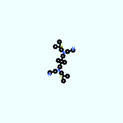 C1=CCC(c2c(-c3ccccc3)sc3cc(N(c4ccc(-c5cccnc5)cc4)c4ccc(-c5c6ccccc6c(-c6ccc(N(c7ccc(-c8cccnc8)cc7)c7ccc8c(-c9ccccc9)c(-c9ccccc9)sc8c7)cc6)c6ccccc56)cc4)ccc23)C=C1